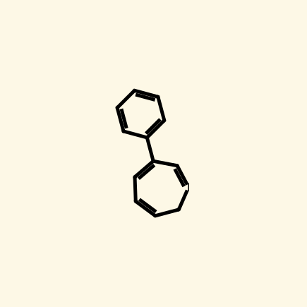 C1=CCI=CC(c2ccccc2)=C1